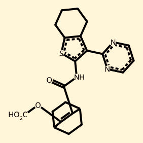 O=C(O)OC1=C(C(=O)Nc2sc3c(c2-c2ncccn2)CCCC3)C2CCC1CC2